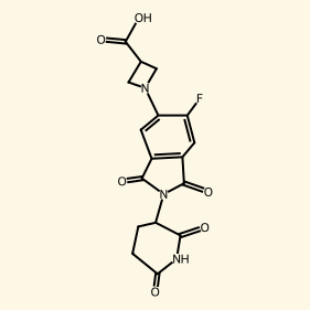 O=C1CCC(N2C(=O)c3cc(F)c(N4CC(C(=O)O)C4)cc3C2=O)C(=O)N1